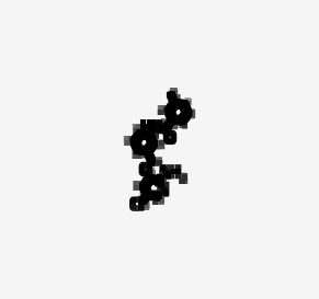 Cc1cccc(C(=O)Nc2cccc(COc3cc(Cl)cnc3N)c2)c1